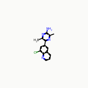 Bc1nc(N)c(C)nc1-c1cc(Cl)c2ncccc2c1